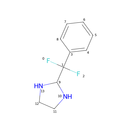 FC(F)(c1ccccc1)C1NCCN1